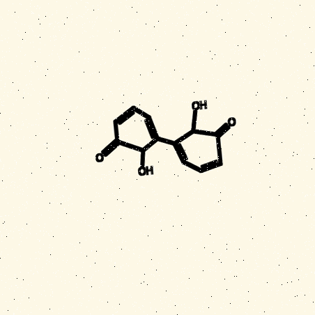 O=C1C=CC=C(C2=CC=CC(=O)C2O)C1O